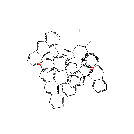 CC(CC1=Cc2c(-c3c4ccccc4cc4ccccc34)ccc(-c3c4ccccc4cc4ccccc34)c2[CH]1[Zr]([CH3])([CH3])(=[SiH2])[CH]1C(CC(C)c2ccccc2)=Cc2c(-c3c4ccccc4cc4ccccc34)ccc(-c3c4ccccc4cc4ccccc34)c21)c1ccccc1.[Cl-].[Cl-]